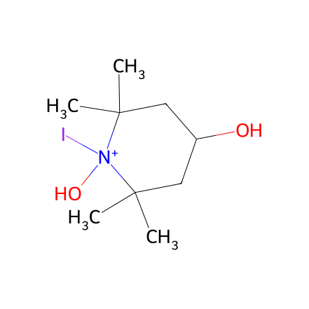 CC1(C)CC(O)CC(C)(C)[N+]1(O)I